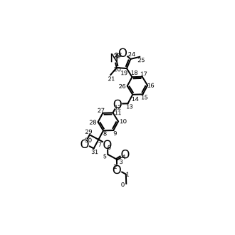 CCOC(=O)COC1(c2ccc(OCc3cccc(-c4c(C)noc4C)c3)cc2)COC1